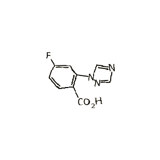 O=C(O)c1ccc(F)cc1-n1cncn1